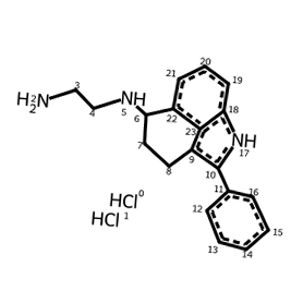 Cl.Cl.NCCNC1CCc2c(-c3ccccc3)[nH]c3cccc1c23